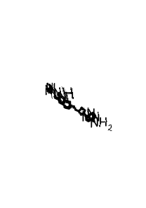 Cn1cc([C@@H]2Cc3cc4ccc(CCC5CCC(n6ccc7c(N)ncnc76)C5)cc4nc3N2)nn1